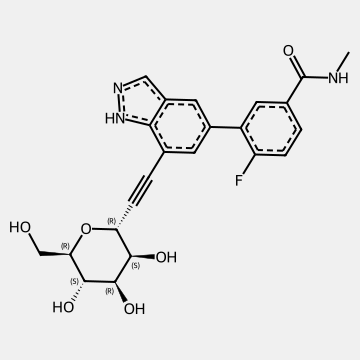 CNC(=O)c1ccc(F)c(-c2cc(C#C[C@H]3O[C@H](CO)[C@@H](O)[C@H](O)[C@@H]3O)c3[nH]ncc3c2)c1